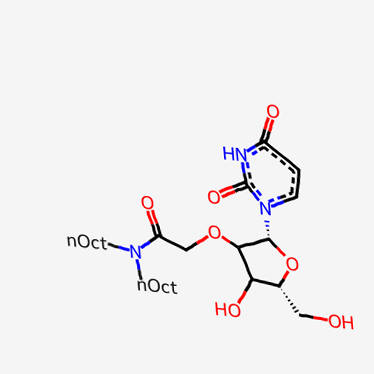 CCCCCCCCN(CCCCCCCC)C(=O)COC1C(O)[C@@H](CO)O[C@H]1n1ccc(=O)[nH]c1=O